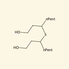 CCCCCC(CCO)SC(CCO)CCCCC